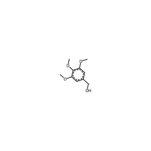 COc1cc([CH]O)cc(OC)c1OC